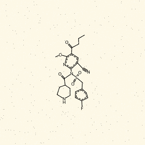 CCCC(=O)c1cc(C#N)c(N(C(=O)C2CCNCC2)S(=O)(=O)Cc2ccc(F)cc2)nc1OC